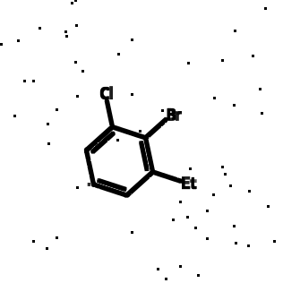 CCc1c[c]cc(Cl)c1Br